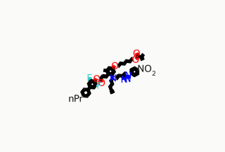 C#CCCCN(/C=C/c1cn(-c2ccc([N+](=O)[O-])cc2)nn1)c1cc(OCCCCCCOC(=O)C(=C)C)cc(C)c1/C=C/C(=O)Oc1c(F)cc(C2CCC(CCC)CC2)cc1F